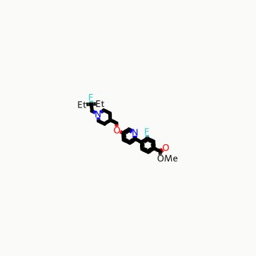 CCC(F)(CC)CN1CCC(COc2ccc(-c3ccc(C(=O)OC)cc3F)nc2)CC1